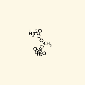 CC(C1=CCC(N2C3c4ccccc4OC3[C@@H]3Oc4ccccc4C32)C=C1)c1ccc(C2=CCC3C(=C2)c2ccccc2C3(C)C)cc1